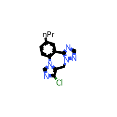 CCCc1ccc2c(c1)-c1ncnn1Cc1c(Cl)ncn1-2